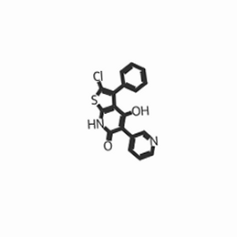 O=c1[nH]c2sc(Cl)c(-c3ccccc3)c2c(O)c1-c1cccnc1